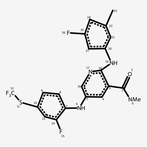 CNC(=O)c1cc(Nc2ccc(SC(F)(F)F)cc2F)cnc1Nc1cc(C)cc(F)c1